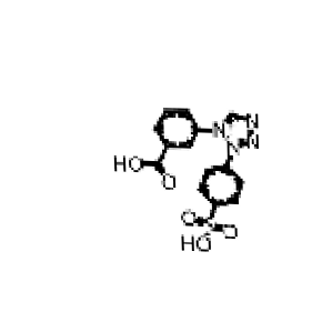 O=C(O)c1cccc(-[n+]2cnnn2-c2ccc(S(=O)(=O)O)cc2)c1